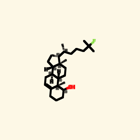 C[C@H](CCCC(C)(C)F)[C@H]1CC[C@H]2[C@@H]3CC=C4CCC[C@H](O)[C@]4(C)[C@H]3CC[C@]12C